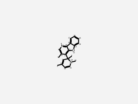 CC1=CC(C)(c2c(C)cnc3c2oc2ccccc23)N(C)C=C1